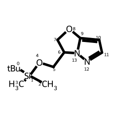 CC(C)(C)[Si](C)(C)OCC1COc2ccnn21